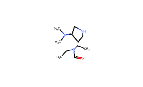 CCN(C=O)CC.CN(C)C1CCNC1